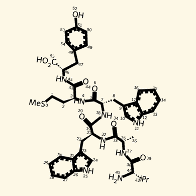 CSCC[C@H](NC(=O)[C@H](Cc1c[nH]c2ccccc12)NC(=O)[C@H](Cc1c[nH]c2ccccc12)NC(=O)[C@H](C)NC(=O)[C@@H](N)C(C)C)C(=O)N[C@@H](Cc1ccc(O)cc1)C(=O)O